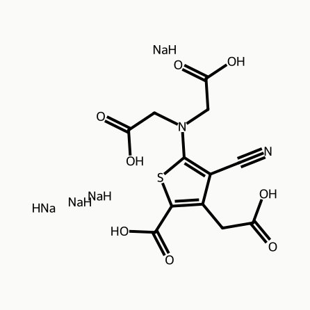 N#Cc1c(N(CC(=O)O)CC(=O)O)sc(C(=O)O)c1CC(=O)O.[NaH].[NaH].[NaH].[NaH]